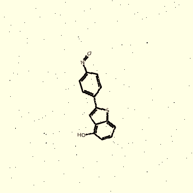 O=Nc1ccc(-c2cc3c(O)cccc3s2)cc1